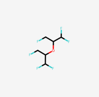 FCC(OC(CF)C(F)F)C(F)F